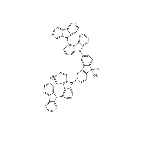 C=Cc1c(/C=C\C)n(-c2ccc3c(c2)-c2cc(-n4c5ccccc5c5c(-n6c7ccccc7c7ccccc76)cccc54)ccc2C3(C)C)c2cccc(-n3c4ccccc4c4ccccc43)c12